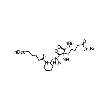 CCCCCCCCCCCCCCC(=O)N1CCCCC1CN(N)C(=O)C(N)(CCCCC(=O)OC(C)(C)C)C(=O)OC(C)(C)C